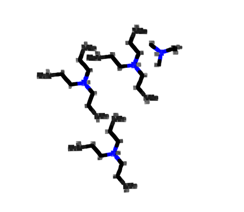 CNCCN(CCNC)CCNC.CNCCN(CCNC)CCNC.CNCCN(CCNC)CCNC.C[N](C)[Ti+3]